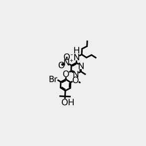 CCCC(CCC)Nc1nc(C)nc(Oc2c(Br)cc(C(C)(C)O)cc2OC)c1[N+](=O)[O-]